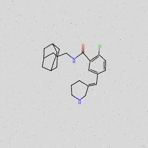 O=C(NCC12CC3CC(CC(C3)C1)C2)c1cc(C=C2CCCNC2)ccc1Cl